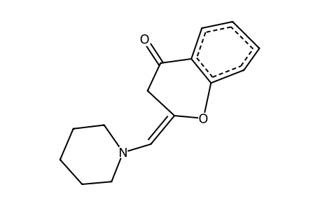 O=C1CC(=CN2CCCCC2)Oc2ccccc21